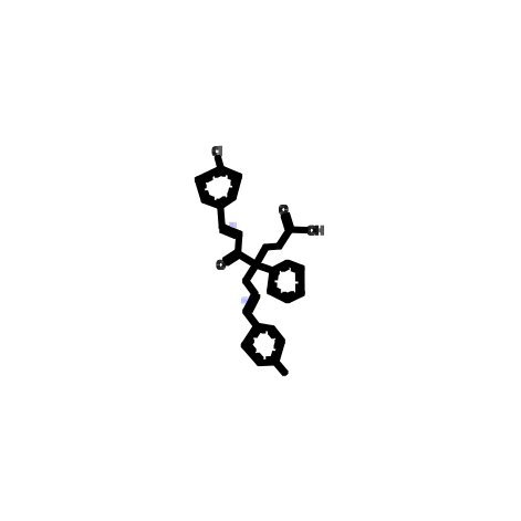 Cc1ccc(/C=C/CC(CCC(=O)O)(C(=O)/C=C/c2ccc(Cl)cc2)c2ccccc2)cc1